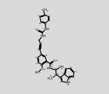 Cc1ccc(NC(=O)NCC#Cc2ccc(OC(C)C)c(C(=O)NC(O)[C@H](C)c3c[nH]c4ccccc34)c2)cc1